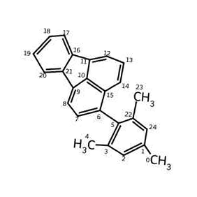 Cc1cc(C)c(-c2ccc3c4c(cccc24)-c2ccccc2-3)c(C)c1